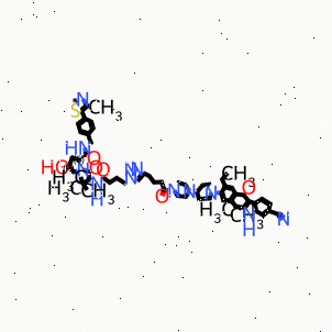 CCc1cc2c(cc1N1CCC(N3CCN(C(=O)CCCc4cn(CCCC(=O)NC(C(=O)N5C[C@H](O)C[C@H]5C(=O)NCc5ccc(-c6scnc6C)cc5)C(C)(C)C)nn4)CC3)CC1)C(C)(C)c1[nH]c3cc(C#N)ccc3c1C2=O